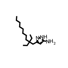 CCCCCCCCC(CC)(CC)Cc1cc(N)[nH]n1